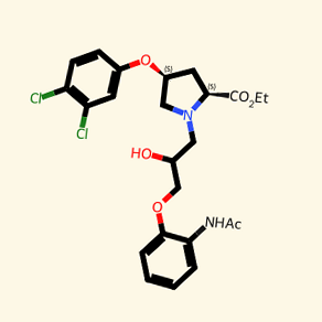 CCOC(=O)[C@@H]1C[C@H](Oc2ccc(Cl)c(Cl)c2)CN1CC(O)COc1ccccc1NC(C)=O